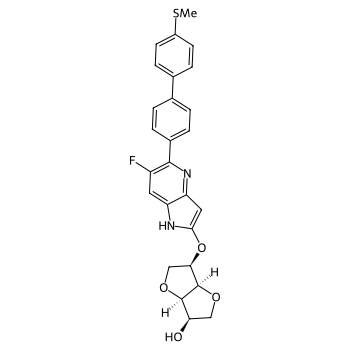 CSc1ccc(-c2ccc(-c3nc4cc(O[C@@H]5CO[C@H]6[C@@H]5OC[C@H]6O)[nH]c4cc3F)cc2)cc1